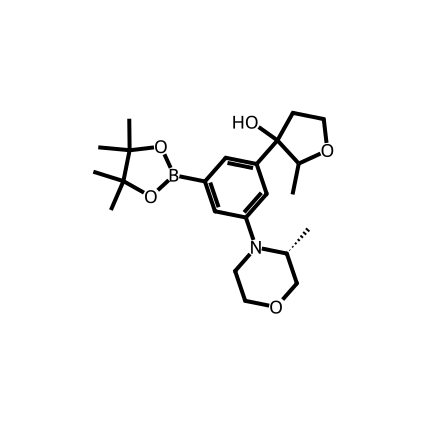 CC1OCCC1(O)c1cc(B2OC(C)(C)C(C)(C)O2)cc(N2CCOC[C@H]2C)c1